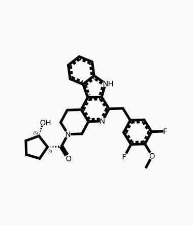 COc1c(F)cc(Cc2nc3c(c4c2[nH]c2ccccc24)CCN(C(=O)[C@@H]2CCC[C@@H]2O)C3)cc1F